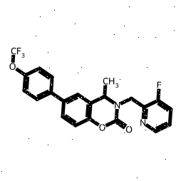 CC1c2cc(-c3ccc(OC(F)(F)F)cc3)ccc2OC(=O)N1Cc1ncccc1F